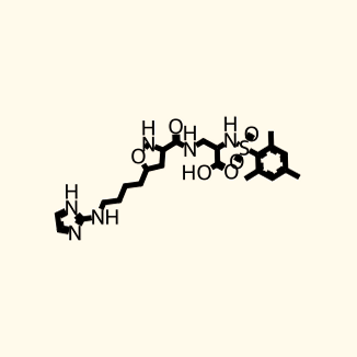 Cc1cc(C)c(S(=O)(=O)NC(CNC(=O)C2CC(CCCCNc3ncc[nH]3)ON2)C(=O)O)c(C)c1